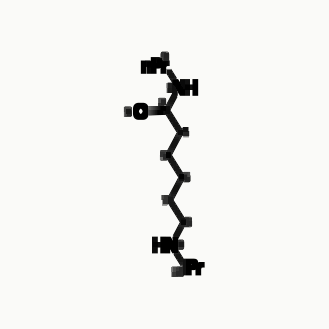 CCCNC(=O)CCCCCNC(C)C